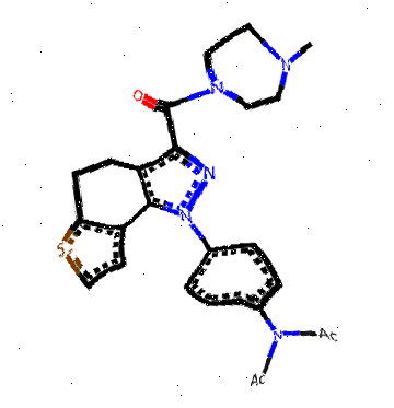 CC(=O)N(C(C)=O)c1ccc(-n2nc(C(=O)N3CCN(C)CC3)c3c2-c2ccsc2CC3)cc1